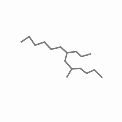 CCCCCCC(CCC)CC(C)CCCC